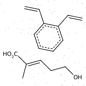 C=Cc1ccccc1C=C.CC(=CCCO)C(=O)O